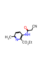 CCOC(=O)c1nc(C)ccc1NC(=O)CC#N